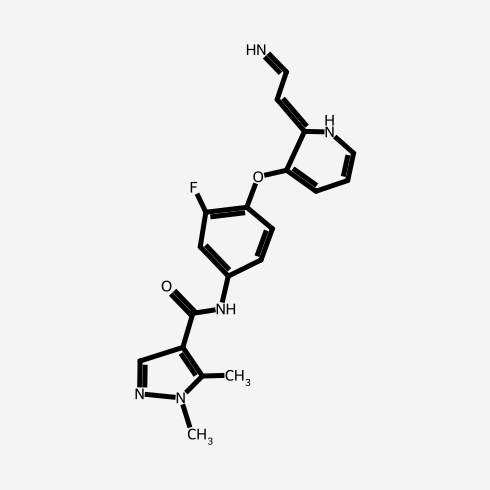 Cc1c(C(=O)Nc2ccc(OC3=CC=CN/C3=C\C=N)c(F)c2)cnn1C